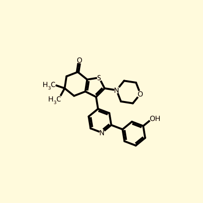 CC1(C)CC(=O)c2sc(N3CCOCC3)c(-c3ccnc(-c4cccc(O)c4)c3)c2C1